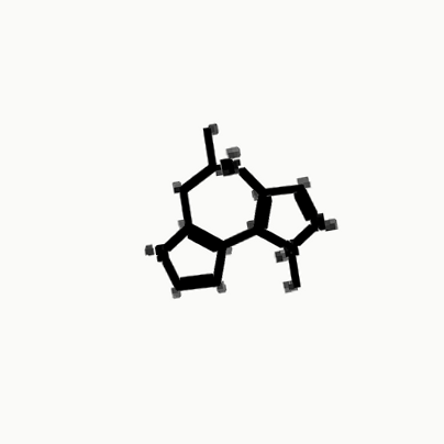 CCCc1sccc1-c1c(Br)cnn1C